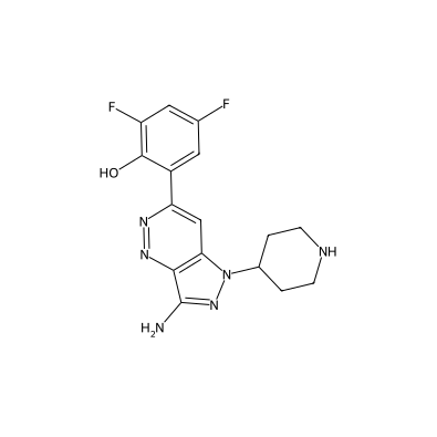 Nc1nn(C2CCNCC2)c2cc(-c3cc(F)cc(F)c3O)nnc12